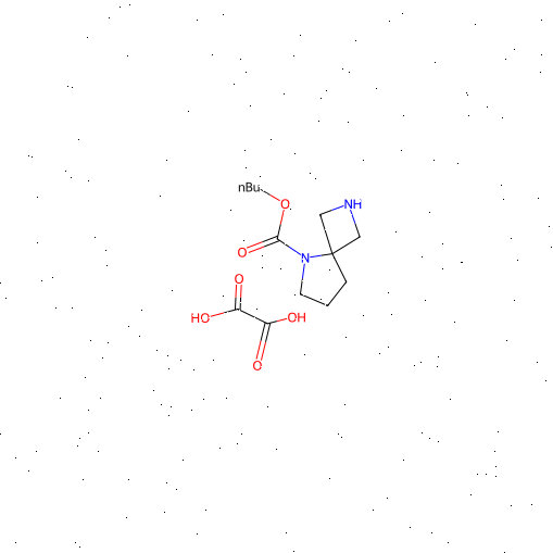 CCCCOC(=O)N1CCCC12CNC2.O=C(O)C(=O)O